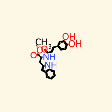 CCOC(=O)C(Cc1cc2ccccc2[nH]1)NC(=O)C=Cc1ccc(O)c(O)c1